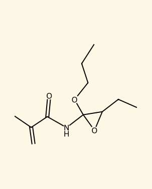 C=C(C)C(=O)NC1(OCCC)OC1CC